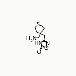 NCC1(Cc2noc(=O)[nH]2)CCSCC1